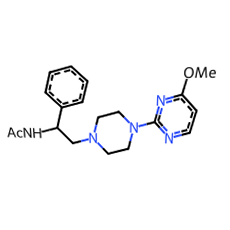 COc1ccnc(N2CCN(CC(NC(C)=O)c3ccccc3)CC2)n1